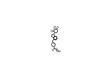 CC(C)(C)OC(=O)C1CCN(Cc2cccc3c2CCN3C2CCC(=O)NC2=O)CC1